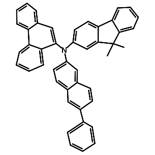 CC1(C)c2ccccc2-c2ccc(N(c3ccc4cc(-c5ccccc5)ccc4c3)c3cc4ccccc4c4ccccc34)cc21